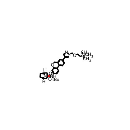 CC(C)(C)OC(=O)N1[C@@H]2CC[C@H]1CC(Nc1ccc3c(c1)OCc1cc(-c4cnn(COCC[Si](C)(C)C)c4)ccc1-3)C2